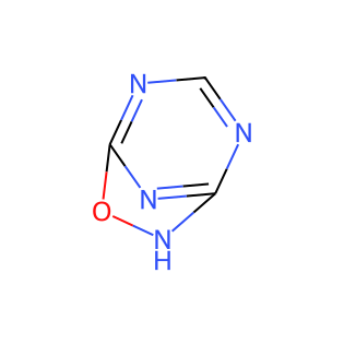 c1nc2nc(n1)ON2